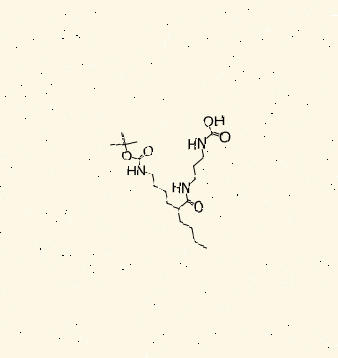 CCCCC(CCCCNC(=O)OC(C)(C)C)C(=O)NCCCNC(=O)O